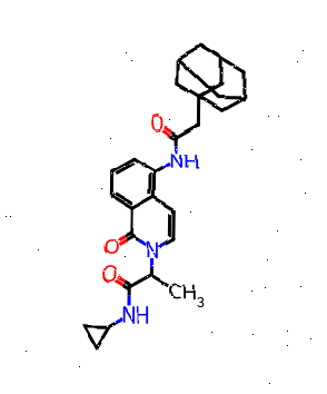 CC(C(=O)NC1CC1)n1ccc2c(NC(=O)CC34CC5CC(CC(C5)C3)C4)cccc2c1=O